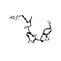 Cc1cc(NCC(C)CCC(=O)O)nc(-c2coc3ccc(Cl)cc23)n1